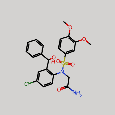 COc1ccc(S(=O)(=O)N(CC(N)=O)c2ccc(Cl)cc2C(O)c2ccccc2)cc1OC